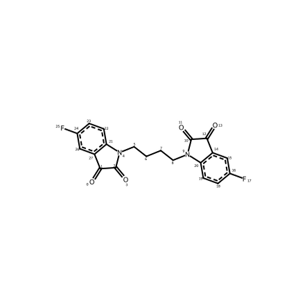 O=C1C(=O)N(CCCCN2C(=O)C(=O)c3cc(F)ccc32)c2ccc(F)cc21